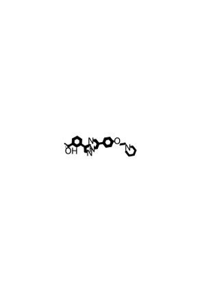 C[C@H](O)c1cccc(-c2cnn3cc(-c4ccc(OCCN5CCCCC5)cc4)cnc23)c1